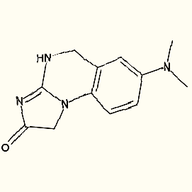 CN(C)c1ccc2c(c1)CNC1=NC(=O)CN12